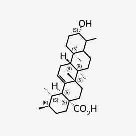 CC1C2CC[C@]3(C)[C@H](CC=C4[C@@H]5[C@@H](C)[C@H](C)CC[C@]5(C(=O)O)CC[C@]43C)[C@@]2(C)CC[C@@H]1O